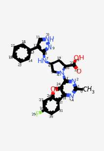 Cc1nc(N2CC(Nc3n[nH]cc3-c3ccccc3)CC2C(=O)O)c2oc3cc(F)ccc3c2n1